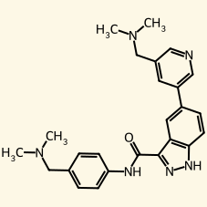 CN(C)Cc1ccc(NC(=O)c2n[nH]c3ccc(-c4cncc(CN(C)C)c4)cc23)cc1